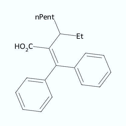 CCCCCC(CC)C(C(=O)O)=C(c1ccccc1)c1ccccc1